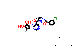 [CH2][C@@H]1C[C@@H](Nc2ncncc2C(=O)c2ccn(CC(=O)c3cccc(Cl)c3)n2)[C@H](O)[C@@H]1O